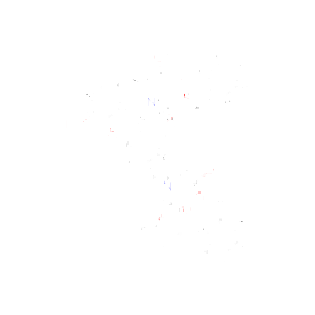 COC(=O)[C@H](Cc1ccc(O)c(Oc2ccc(CC(C(=O)OCc3ccccc3)N(C)C(=O)OC(C)(C)C)cc2)c1)N(C)C(=O)OCc1ccccc1